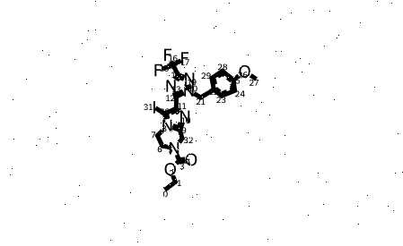 CCOC(=O)N1CCn2c(nc(-c3nc(C(F)(F)F)nn3Cc3ccc(OC)cc3)c2I)C1